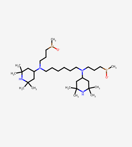 C[S+]([O-])CCCN(CCCCCCN(CCC[S+](C)[O-])C1CC(C)(C)NC(C)(C)C1)C1CC(C)(C)NC(C)(C)C1